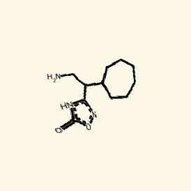 NCC(c1noc(=O)[nH]1)C1CCCCCC1